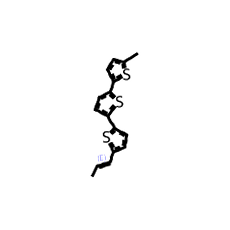 C/C=C/c1ccc(-c2ccc(-c3ccc(C)s3)s2)s1